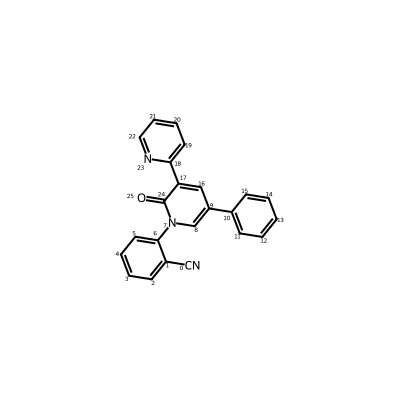 N#Cc1ccccc1-n1cc(-c2ccccc2)cc(-c2ccccn2)c1=O